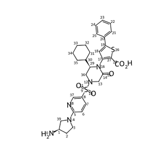 N[C@@H]1CCN(c2ccc(S(=O)(=O)N3CC(=O)N(c4cc(-c5ccccc5)sc4C(=O)O)[C@H](C4CCCCC4)C3)cn2)C1